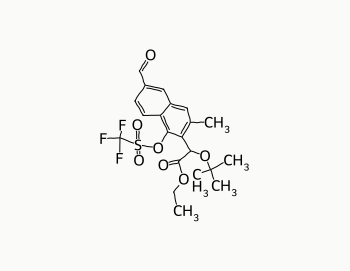 CCOC(=O)C(OC(C)(C)C)c1c(C)cc2cc(C=O)ccc2c1OS(=O)(=O)C(F)(F)F